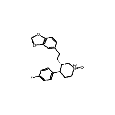 [O-][NH+]1CC[C@@H](c2ccc(F)cc2)[C@H](CCc2ccc3c(c2)OCO3)C1